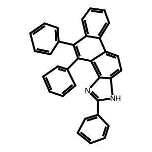 c1ccc(-c2nc3c(ccc4c5ccccc5c(-c5ccccc5)c(-c5ccccc5)c43)[nH]2)cc1